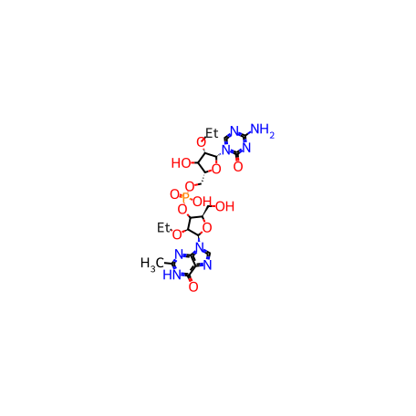 CCO[C@H]1C(O)[C@@H](COP(=O)(O)OC2[C@@H](CO)O[C@@H](n3cnc4c(=O)[nH]c(C)nc43)[C@H]2OCC)O[C@H]1n1cnc(N)nc1=O